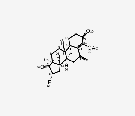 C=C1C[C@@H]2[C@H](CC[C@]3(C)C(=O)[C@@H](F)C[C@@H]23)[C@@]2(C)CCC(=O)C(OC(C)=O)=C12